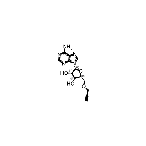 C#CCOC[C@H]1O[C@@H](n2cnc3c(N)ncnc32)[C@H](O)[C@@H]1O